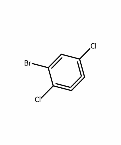 ClC1=C=C=C(Cl)C(Br)=C1